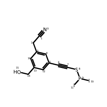 N#CCc1cc(C#CSP(I)I)cc(CO)c1